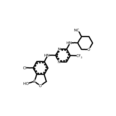 N#CC1CCOCC1Nc1nc(Nc2cc(Cl)c3c(c2)COB3O)ncc1C(F)(F)F